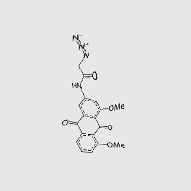 COc1cccc2c1C(=O)c1c(OC)cc(NC(=O)CN=[N+]=[N-])cc1C2=O